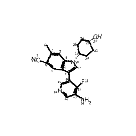 Cc1cc2c(cc1C#N)c(-c1cncc(N)c1F)cn2[C@H]1CC[C@@H](O)CC1